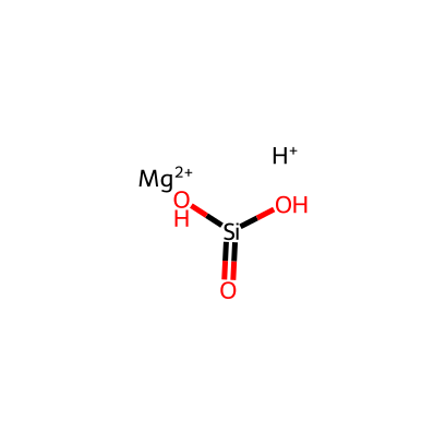 O=[Si](O)O.[H+].[Mg+2]